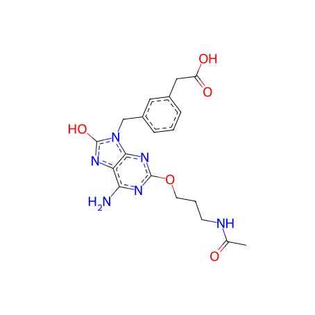 CC(=O)NCCCOc1nc(N)c2nc(O)n(Cc3cccc(CC(=O)O)c3)c2n1